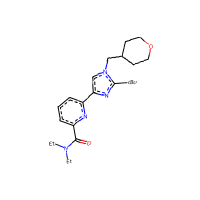 CCN(CC)C(=O)c1cccc(-c2cn(CC3CCOCC3)c(C(C)(C)C)n2)n1